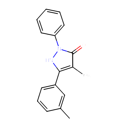 Cc1cccc(-c2[nH]n(-c3ccccc3)c(=O)c2C(C)(C)C)c1